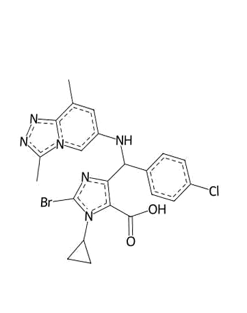 Cc1cc(NC(c2ccc(Cl)cc2)c2nc(Br)n(C3CC3)c2C(=O)O)cn2c(C)nnc12